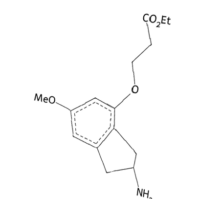 CCOC(=O)CCOc1cc(OC)cc2c1CC(N)C2